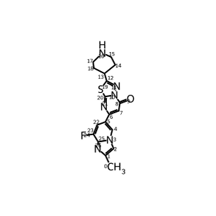 Cc1cn2cc(-c3cc(=O)n4nc(C5CCNCC5)sc4n3)cc(F)c2n1